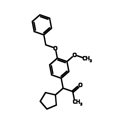 COc1cc(C(C(C)=O)C2CCCC2)ccc1OCc1ccccc1